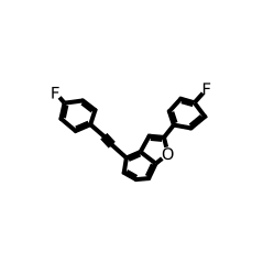 Fc1ccc(C#Cc2cccc3oc(-c4ccc(F)cc4)cc23)cc1